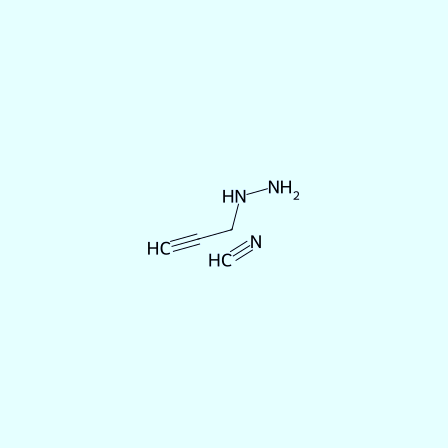 C#CCNN.C#N